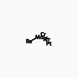 [Cr].[Mo][Re].[Pt].[Rh]